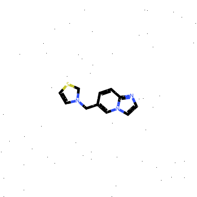 C1=CN(Cc2ccc3nccn3c2)CS1